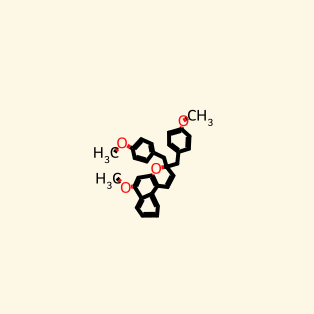 COc1ccc(CC2(Cc3ccc(OC)cc3)C=Cc3c(cc(OC)c4ccccc34)O2)cc1